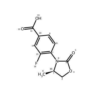 C[C@@H]1COC(=O)N1c1ccc(C(=O)O)cc1F